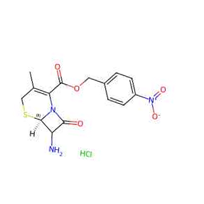 CC1=C(C(=O)OCc2ccc([N+](=O)[O-])cc2)N2C(=O)C(N)[C@H]2SC1.Cl